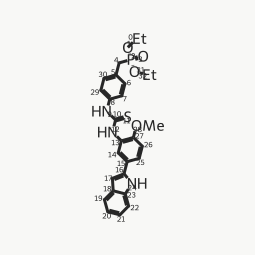 CCOP(=O)(Cc1ccc(NC(=S)Nc2cc(-c3cc4ccccc4[nH]3)ccc2OC)cc1)OCC